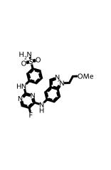 COCCn1ncc2cc(Nc3nc(Nc4cccc(S(N)(=O)=O)c4)ncc3F)ccc21